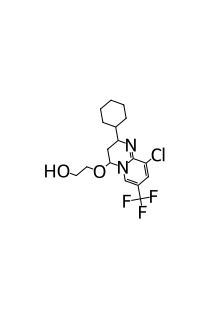 OCCOC1CC(C2CCCCC2)N=C2C(Cl)=CC(C(F)(F)F)=CN21